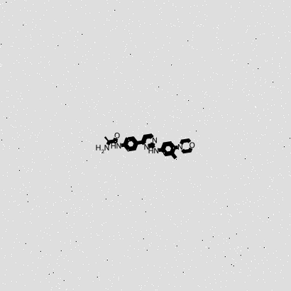 Cc1cc(Nc2nccc(-c3ccc(NC(=O)[C@H](C)N)cc3)n2)ccc1N1CCOCC1